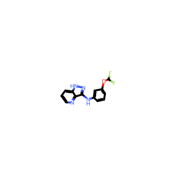 FC(F)Oc1cccc(Nc2n[nH]c3cccnc23)c1